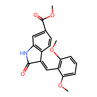 COC(=O)c1ccc2c(c1)NC(=O)/C2=C/c1c(OC)cccc1OC